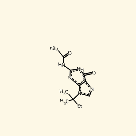 CCCCC(=O)Nc1nc2c(ncn2C(C)(C)CC)c(=O)[nH]1